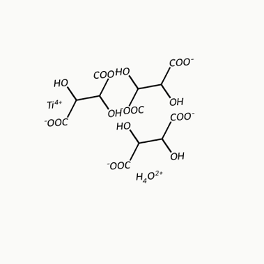 O=C([O-])C(O)C(O)C(=O)[O-].O=C([O-])C(O)C(O)C(=O)[O-].O=C([O-])C(O)C(O)C(=O)[O-].[OH4+2].[Ti+4]